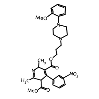 COC(=O)C1C(C)=NC(C)C(C(=O)OCCCN2CCN(c3ccccc3OC)CC2)=C1c1cccc([N+](=O)[O-])c1